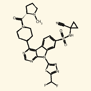 CN1CCC[C@H]1C(=O)N1CCC(c2ncnc3c2c2ccc(S(=O)(=O)NC4(C#N)CC4)cc2n3-c2nnc(C(F)F)s2)CC1